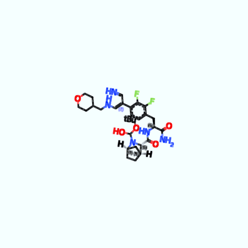 CC(C)(C)OC(O)N1[C@@H]2CC[C@@H](C2)[C@H]1C(=O)N[C@@H](Cc1ccc(/C(C=N)=C/NCC2CCOCC2)c(F)c1F)C(N)=O